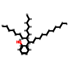 CCCCCCCCCCCC(c1ccccc1O)C(CCCCCC)CCCCCCC